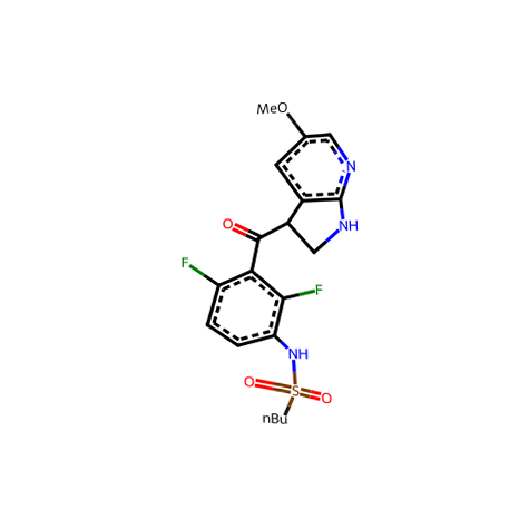 CCCCS(=O)(=O)Nc1ccc(F)c(C(=O)C2CNc3ncc(OC)cc32)c1F